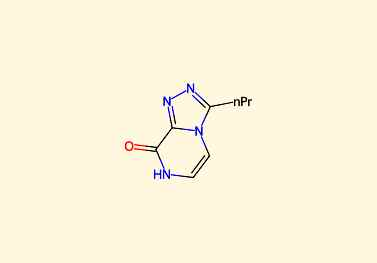 CCCc1nnc2c(=O)[nH]ccn12